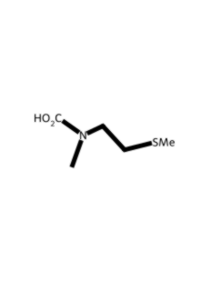 CSCCN(C)C(=O)O